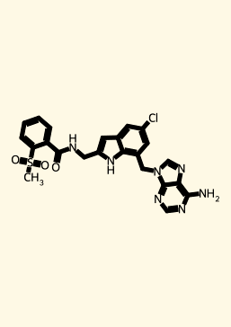 CS(=O)(=O)c1ccccc1C(=O)NCc1cc2cc(Cl)cc(Cn3cnc4c(N)ncnc43)c2[nH]1